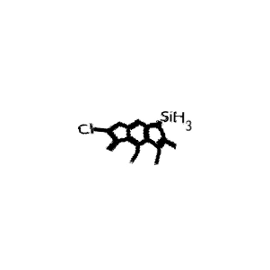 CC1=C(C)C([SiH3])c2cc3c(c(C)c21)C(C)C(Cl)C3